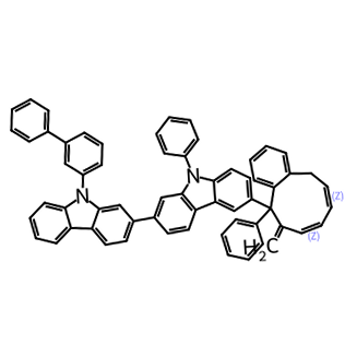 C=C1/C=C\C=C/Cc2ccccc2C1(c1ccccc1)c1ccc2c(c1)c1ccc(-c3ccc4c5ccccc5n(-c5cccc(-c6ccccc6)c5)c4c3)cc1n2-c1ccccc1